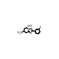 Cl.NC1CCn2nc(-c3cccc(F)c3)nc2C1